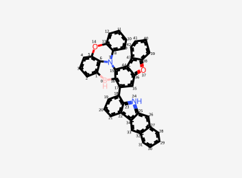 B1c2cccc3c2N(c2ccccc2O3)c2c1c(-c1cccc3c1[nH]c1cc4ccccc4cc13)cc1oc3ccccc3c21